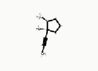 CC#C[C@]1(O)CCC[C@@H]1C